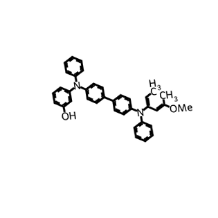 C/C=C(\C=C(/C)OC)N(c1ccccc1)c1ccc(-c2ccc(N(c3ccccc3)c3cccc(O)c3)cc2)cc1